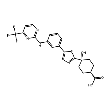 O=C(O)[C@H]1CC[C@](O)(c2ncc(-c3cccc(Nc4nccc(C(F)(F)F)n4)c3)s2)CC1